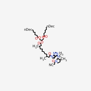 CCCCCCCCCCCCCCCC(=O)OCC(COC(=O)CCCCCCCCCCCCCCC)OC(=O)CC(C)CCCCCCC(C)CC(=O)n1ccc2c(N(C)[C@H]3CN(C(=O)CC#N)CC[C@H]3C)ncnc21